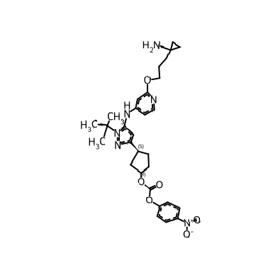 CC(C)(C)n1nc([C@H]2CC[C@@H](OC(=O)Oc3ccc([N+](=O)[O-])cc3)C2)cc1Nc1ccnc(OCCCC2(N)CC2)c1